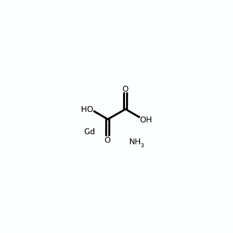 N.O=C(O)C(=O)O.[Gd]